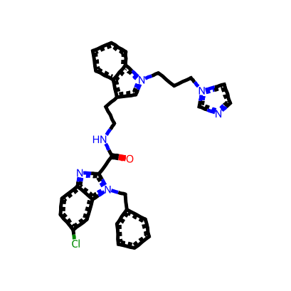 O=C(NCCc1cn(CCCn2ccnc2)c2ccccc12)c1nc2ccc(Cl)cc2n1Cc1ccccc1